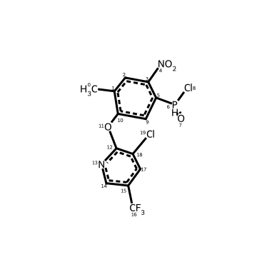 Cc1cc([N+](=O)[O-])c([PH](=O)Cl)cc1Oc1ncc(C(F)(F)F)cc1Cl